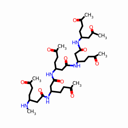 CNC(CCC(C)=O)CC(=O)NC(CCC(C)=O)CC(=O)NC(CCC(C)=O)CC(=O)NC(CCC(C)=O)CC(=O)NC(CCC(C)=O)CC(C)=O